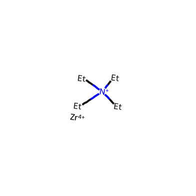 CC[N+](CC)(CC)CC.[Zr+4]